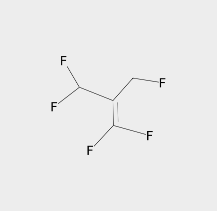 FCC(=C(F)F)C(F)F